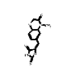 CN1C(=O)COC2C=CC(C=C3OC(=S)NC3=O)=CC21